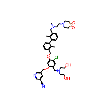 Cc1c(COc2cc(OCc3cncc(C#N)c3)c(CN(CCO)CCO)cc2Cl)cccc1-c1cccc(CN(C)CCN2CCS(=O)(=O)CC2)c1C